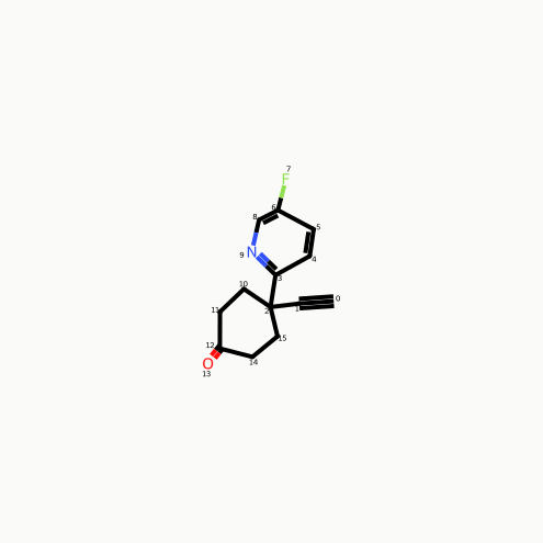 C#CC1(c2ccc(F)cn2)CCC(=O)CC1